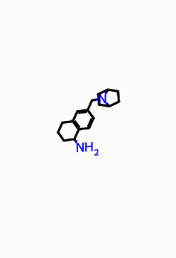 NC1CCCc2cc(CN3C4CCC3CC4)ccc21